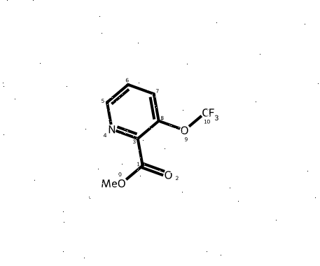 COC(=O)c1ncccc1OC(F)(F)F